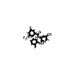 Cc1ccccc1Nc1ncc(C#N)cc1NC(=O)c1cc(F)cc(C(F)(F)F)c1